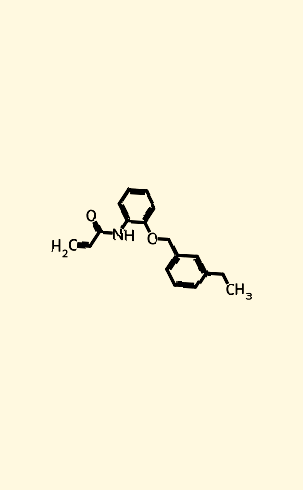 C=CC(=O)Nc1ccccc1OCc1cccc(CC)c1